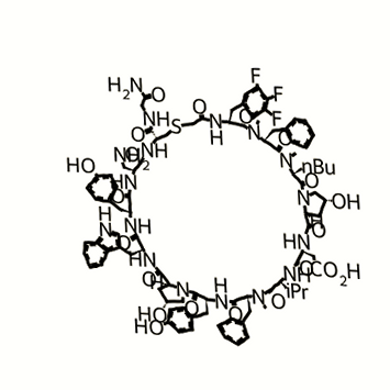 CCCC[C@H]1C(=O)N2C[C@H](O)C[C@@H]2C(=O)N[C@@H](CC(=O)O)C(=O)N[C@@H](C(C)C)C(=O)N(C)[C@@H](Cc2ccccc2)C(=O)N[C@@H](Cc2ccc(O)cc2)C(=O)N2C[C@H](O)C[C@H]2C(=O)N[C@@H](Cc2c[nH]c3ccccc23)C(=O)N[C@@H](Cc2ccc(O)cc2)C(=O)N[C@@H](CN)C(=O)N[C@H](C(=O)NCC(N)=O)CSCC(=O)N[C@@H](Cc2cc(F)c(F)c(F)c2)C(=O)N(C)[C@@H](Cc2ccccc2)C(=O)N1C